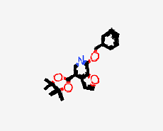 CC1(C)OC(c2cnc(OCc3ccccc3)c3occc23)OC1(C)C